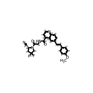 COc1ccc(/C=C/c2ccc3nccc(C(=O)NCC(=O)N4CC(F)(F)C[C@H]4C#N)c3c2)cc1